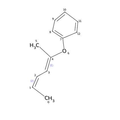 C/C=C\C=C(/C)Oc1ccccc1